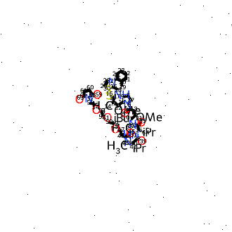 CC[C@H](C)[C@@H]([C@@H](CC(=O)N1CCC[C@H]1[C@H](OC)[C@@H](C)C(=S)N[C@@H](Cc1ccccc1)c1nccs1)OC)N(C)C(=O)[C@@H](NC(=O)[C@H](C(C)C)N(C)C(=O)CCOCCOCCOCCN1C(=O)C=CC1=O)C(C)C